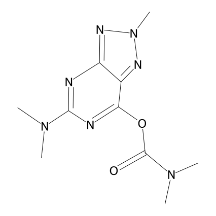 CN(C)C(=O)Oc1nc(N(C)C)nc2nn(C)nc12